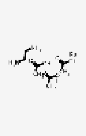 CC(=O)O.CC(=O)O.CC(=O)O.NCCN.[Ru]